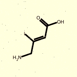 NCC(I)=CC(=O)O